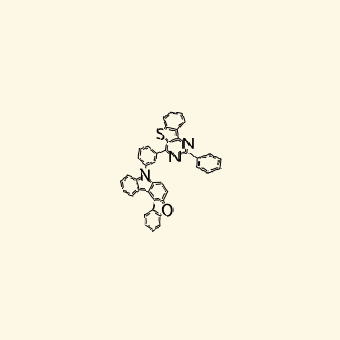 c1ccc(-c2nc(-c3cccc(-n4c5ccccc5c5c6c(ccc54)oc4ccccc46)c3)c3sc4ccccc4c3n2)cc1